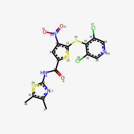 Cc1nc(NC(=O)c2cc([N+](=O)[O-])c(Sc3c(Cl)cncc3Cl)s2)sc1C